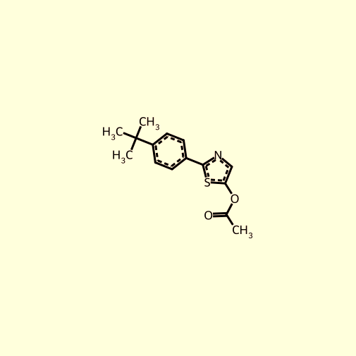 CC(=O)Oc1cnc(-c2ccc(C(C)(C)C)cc2)s1